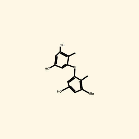 Cc1c(Sc2cc(O)cc(C(C)(C)C)c2C)cc(O)cc1C(C)(C)C